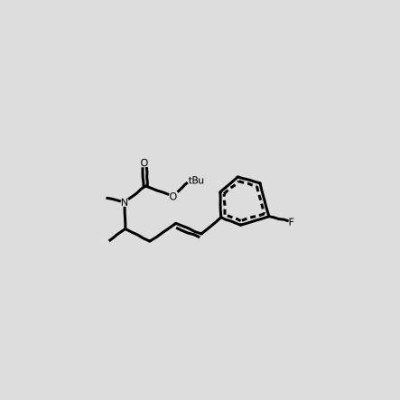 CC(CC=Cc1cccc(F)c1)N(C)C(=O)OC(C)(C)C